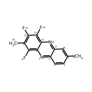 Cc1ccc2nc3c(F)c(C)c(F)c(F)c3nc2c1